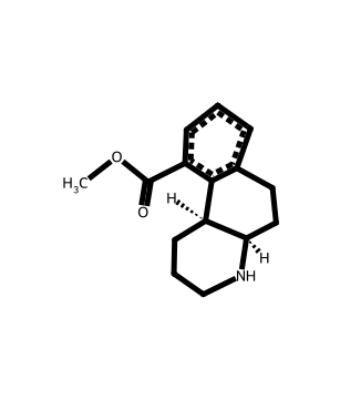 COC(=O)c1cccc2c1[C@@H]1CCCN[C@@H]1CC2